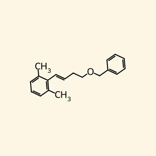 Cc1cccc(C)c1C=CCCOCc1ccccc1